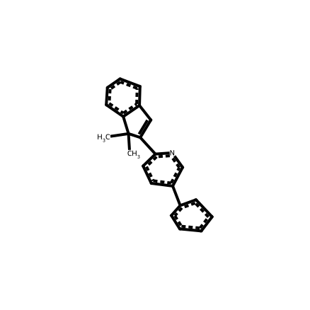 CC1(C)C(c2ccc(-c3ccccc3)cn2)=Cc2ccccc21